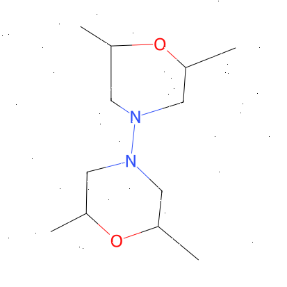 CC1CN(N2CC(C)OC(C)C2)CC(C)O1